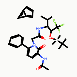 CC(=O)Nc1ccc(-c2ccccc2)n(CC(=O)NC(C(C)C)C(O[Si](C)(C)C(C)(C)C)C(F)(F)F)c1=O.c1cc2cc-2c1